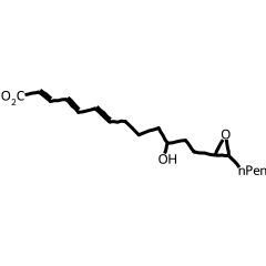 CCCCCC1OC1CCC(O)CCCC=CC=CC=CC(=O)O